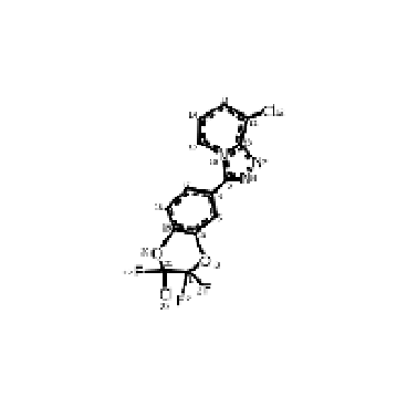 FC1(F)Oc2cc(-c3nnc4c(Cl)cccn34)ccc2OC1(F)Cl